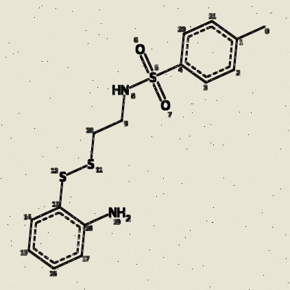 Cc1ccc(S(=O)(=O)NCCSSc2ccccc2N)cc1